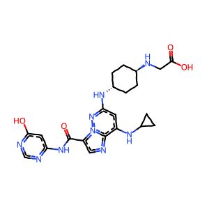 O=C(O)CN[C@H]1CC[C@H](Nc2cc(NC3CC3)c3ncc(C(=O)Nc4cc(O)ncn4)n3n2)CC1